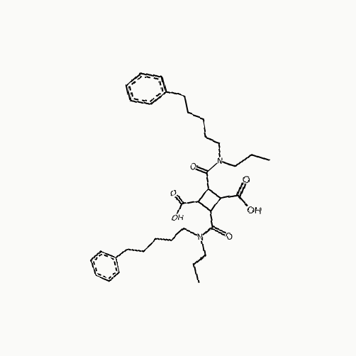 CCCN(CCCCCc1ccccc1)C(=O)C1C(C(=O)O)C(C(=O)N(CCC)CCCCCc2ccccc2)C1C(=O)O